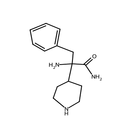 NC(=O)C(N)(Cc1ccccc1)C1CCNCC1